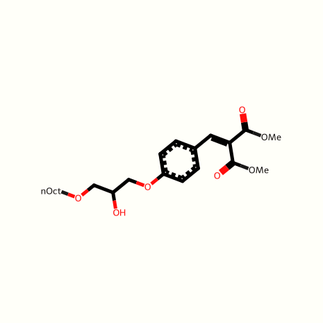 CCCCCCCCOCC(O)COc1ccc(C=C(C(=O)OC)C(=O)OC)cc1